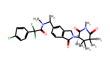 BC(c1ccc2c(c1)CN([C@@]1(B)C(=O)N(B)C(=O)C(B)(B)C1(B)B)C2=O)N(B)C(=O)C(F)(F)c1ccc(Cl)cc1